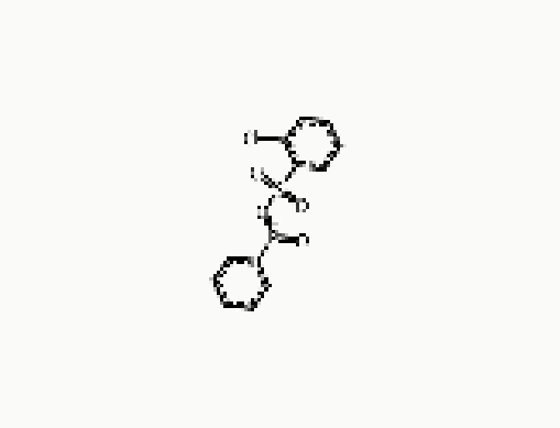 O=[PH](OS(=O)(=O)c1c[c]ccc1Cl)c1ccccc1